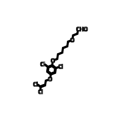 O=CCCOCCCCCCOc1c(Cl)cc(OCC=C(Cl)Cl)cc1Cl